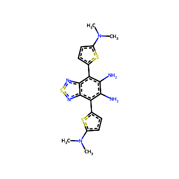 CN(C)c1ccc(-c2c(N)c(N)c(-c3ccc(N(C)C)s3)c3nsnc23)s1